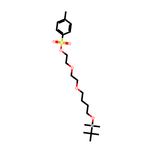 Cc1ccc(S(=O)(=O)OCCOCCOCCCCO[Si](C)(C)C(C)(C)C)cc1